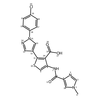 Cn1cnc(C(=O)Nc2csc(-c3cnn(-c4ccc(Cl)cc4)c3)c2C(=O)O)c1